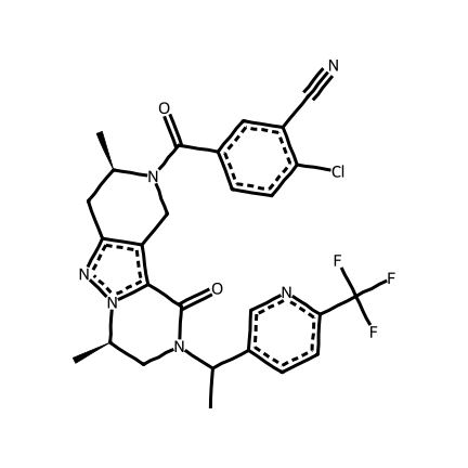 CC(c1ccc(C(F)(F)F)nc1)N1C[C@@H](C)n2nc3c(c2C1=O)CN(C(=O)c1ccc(Cl)c(C#N)c1)[C@H](C)C3